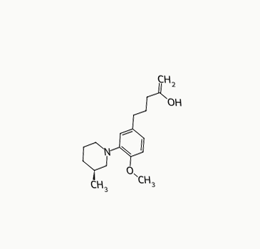 C=C(O)CCCc1ccc(OC)c(N2CCC[C@H](C)C2)c1